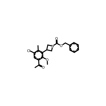 COc1c(C(C)=O)cc(Cl)c(C)c1C1CN(C(=O)OCc2ccccc2)C1